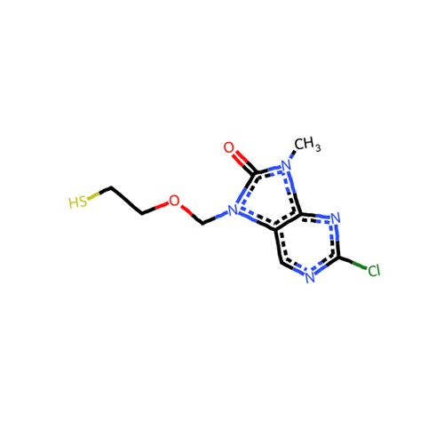 Cn1c(=O)n(COCCS)c2cnc(Cl)nc21